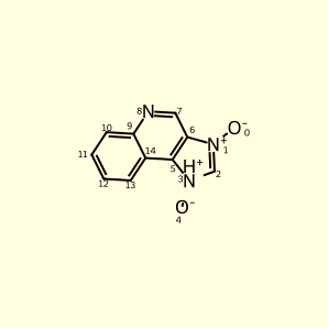 [O-][N+]1=C[NH+]([O-])c2c1cnc1ccccc21